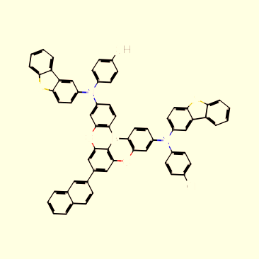 Cc1ccc(N(c2ccc3c(c2)Oc2cc(-c4ccc5ccccc5c4)cc4c2B3c2ccc(N(c3ccc(C)cc3)c3ccc5sc6ccccc6c5c3)cc2O4)c2ccc3sc4ccccc4c3c2)cc1